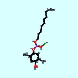 CCCCCCCCCCCCCCCCCCOP(OF)Oc1cc(C(C)(C)C)c(O)cc1C(C)(C)C